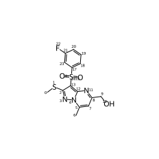 CSc1nn2c(C)cc(CO)nc2c1S(=O)(=O)c1cccc(F)c1